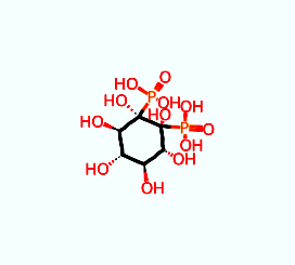 O=P(O)(O)[C@@]1(O)[C@H](O)[C@@H](O)[C@H](O)[C@@H](O)[C@@]1(O)P(=O)(O)O